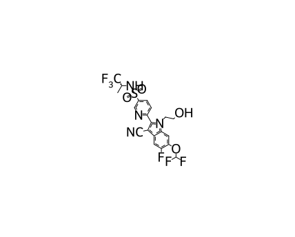 C[C@H](NS(=O)(=O)c1ccc(-c2c(C#N)c3cc(F)c(OC(F)F)cc3n2CCO)nc1)C(F)(F)F